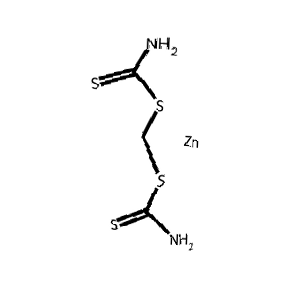 NC(=S)SCSC(N)=S.[Zn]